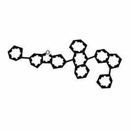 c1ccc(-c2ccc3c(c2)oc2cc(-c4c5ccccc5c(-c5ccc6cccc(-c7ccccc7)c6c5)c5ccccc45)ccc23)cc1